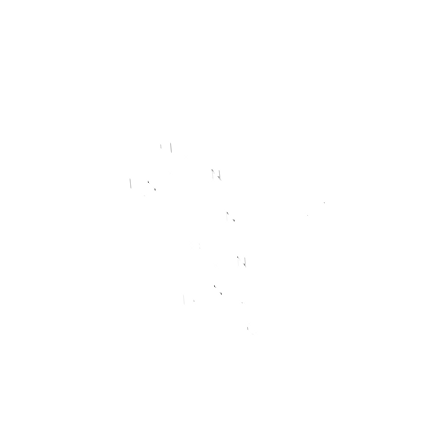 CC(N)c1cn2c(N3CC(=O)N(C)C3=O)cc(C3CC3)cc2n1